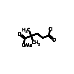 COC(=O)C(C)(C)CCC(=O)Cl